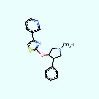 O=C(O)N1CC(Oc2nc(-c3cccnc3)cs2)C(c2ccccc2)C1